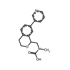 CN(CC1OCCc2ccc(-c3cccnc3)cc21)C(=O)O